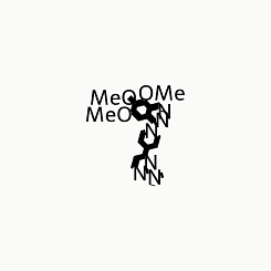 COc1cc2c(N3CCC(c4ccnc(N(C)C)n4)CC3)nncc2c(OC)c1OC